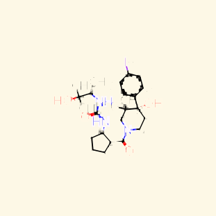 C[C@H](NC(=O)N[C@@H]1CCC[C@@H]1C(=O)N1CC[C@](O)(c2ccc(I)cc2)C(C)(C)C1)C(C)(C)O